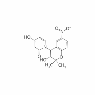 CC1(C)Oc2ccc([N+](=O)[O-])cc2C(n2ccc(O)cc2=O)C1O